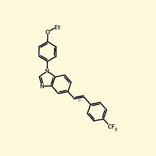 CCOc1ccc(-n2cnc3cc(/C=C/c4ccc(C(F)(F)F)cc4)ccc32)cc1